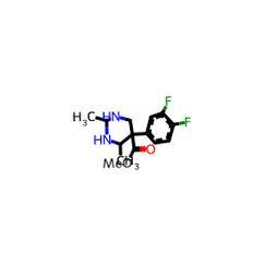 COC(=O)C1(c2ccc(F)c(F)c2)CNC(C)NC1C